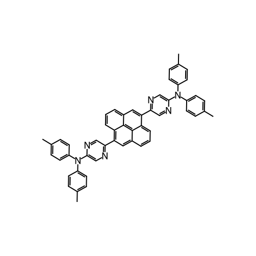 Cc1ccc(N(c2ccc(C)cc2)c2cnc(-c3cc4cccc5c(-c6cnc(N(c7ccc(C)cc7)c7ccc(C)cc7)cn6)cc6cccc3c6c45)cn2)cc1